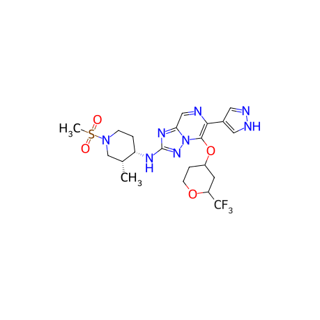 C[C@@H]1CN(S(C)(=O)=O)CC[C@@H]1Nc1nc2cnc(-c3cn[nH]c3)c(OC3CCOC(C(F)(F)F)C3)n2n1